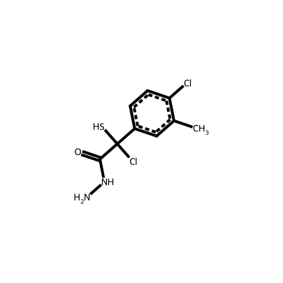 Cc1cc(C(S)(Cl)C(=O)NN)ccc1Cl